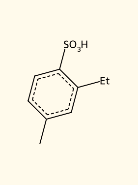 [CH2]Cc1cc(C)ccc1S(=O)(=O)O